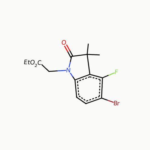 CCOC(=O)CN1C(=O)C(C)(C)c2c1ccc(Br)c2F